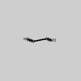 N=N/N=N/N=N/C#CC#CC#CC#CC#C/N=N/N=N/N=O